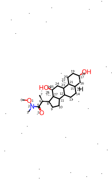 CON(C)C(=O)[C@@H](C)C1CCC2C3CC[C@@H]4C[C@H](O)CC[C@]4(C)C3C[C@H](O)[C@@]21C